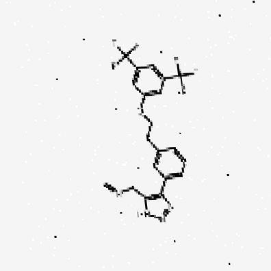 C=NCc1[nH]nnc1-c1cccc(CCOc2cc(C(F)(F)F)cc(C(F)(F)F)c2)c1